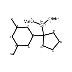 CO[SiH](OC)C1(C2CC(C)CC(C)C2)CCCC1